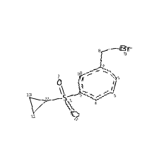 O=S(=O)(c1cccc(CBr)c1)C1CC1